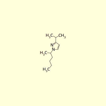 CCCCC(C)n1ccc(C(C)C)n1